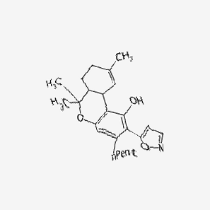 CCCCCc1cc2c(c(O)c1-c1ccno1)C1C=C(C)CCC1C(C)(C)O2